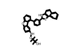 CC(C)(O)C(C)(C)OBc1ccc2oc3cccc(-c4cccc(C5Nc6ccc7ccccc7c6S5)c4)c3c2c1